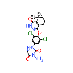 CCC1(CC)CCCc2c(Oc3c(Cl)cc(-n4ncc(=O)n(N)c4=O)cc3Cl)n[nH]c(=O)c21